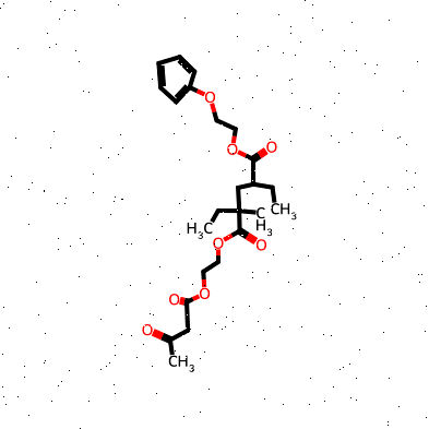 CCC(CC(C)(CC)C(=O)OCCOC(=O)CC(C)=O)C(=O)OCCOc1ccccc1